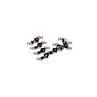 CC(C)(O)CON1C(C)(C)CC(O)CC1(C)C.CC(C)(O)CON1C(C)(C)CC(O)CC1(C)C.CC(C)(O)CON1C(C)(C)CC(O)CC1(C)C.CC(C)(O)CON1C(C)(C)CC(O)CC1(C)C.CC(C)(O)CON1C(C)(C)CC(O)CC1(C)C.O=C(O)CN(CCN(CC(=O)O)CC(=O)O)CCN(CC(=O)O)CC(=O)O